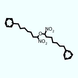 O=[N+]([O-])C(CCCCCCc1ccccc1)OC(CCCCCCc1ccccc1)[N+](=O)[O-]